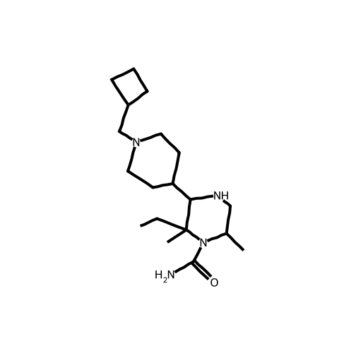 CCC1(C)C(C2CCN(CC3CCC3)CC2)NCC(C)N1C(N)=O